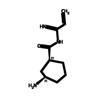 C=CC(=N)NC(=O)[C@H]1CCC[C@@H](N)C1